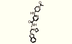 CC(=O)N1CCC(Nc2cc(C(=O)NC[C@@H](CN3Cc4ccccc4C3)N3CCC3)ccn2)CC1